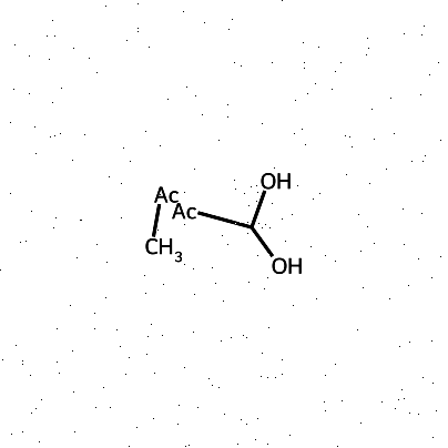 CC(=O)C(O)O.CC(C)=O